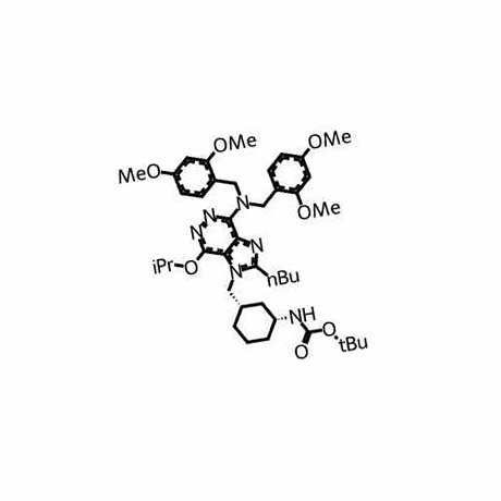 CCCCc1nc2c(N(Cc3ccc(OC)cc3OC)Cc3ccc(OC)cc3OC)nnc(OC(C)C)c2n1C[C@H]1CCC[C@@H](NC(=O)OC(C)(C)C)C1